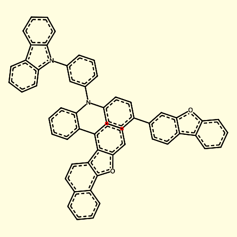 c1cc(N(c2ccc(-c3ccc4c(c3)oc3ccccc34)cc2)c2ccccc2-c2cccc3oc4c5ccccc5ccc4c23)cc(-n2c3ccccc3c3ccccc32)c1